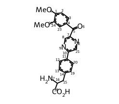 COc1ccc(C(=O)c2cnc(-c3ccc(CC(N)C(=O)O)cc3)cn2)cc1OC